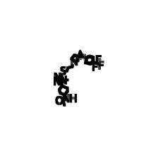 CC(=O)NC1CCC(c2nnc(SCCCN3CCC4(C[C@@H]4c4ccc(C(F)(F)F)cc4)C3)n2C)CC1